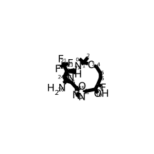 CC1(C)CCCCC(F)C(O)c2nnc(o2)-c2nc(c(C(F)(F)F)cc2N)N1